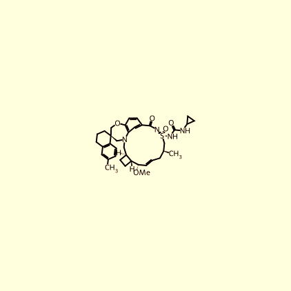 CO[C@H]1/C=C/C[C@H](C)C[S@@](=O)(NC(=O)NC2CC2)=NC(=O)c2ccc3c(c2)N(C[C@@H]2CC[C@H]21)C[C@@]1(CCCc2cc(C)ccc21)CO3